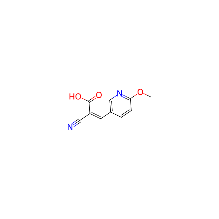 COc1ccc(C=C(C#N)C(=O)O)cn1